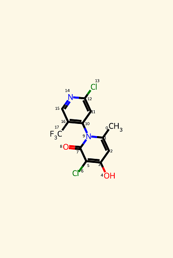 Cc1cc(O)c(Cl)c(=O)n1-c1cc(Cl)ncc1C(F)(F)F